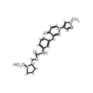 Cn1cc(-n2ccc(=O)c(Cc3cccc(NC(=O)OC[C@H]4CCCN4C(=O)O)c3)n2)cn1